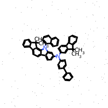 CC1(C)c2ccccc2-c2ccc(N(c3ccc(-c4ccccc4)cc3)c3ccc4c5ccc6c(c5n(-c5cccc7ccccc57)c4c3)C(C)(C)c3ccccc3-6)cc21